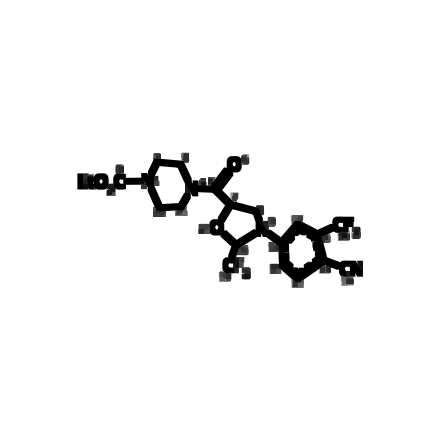 CCOC(=O)N1CCN(C(=O)C2CN(c3ccc(C#N)c(C(F)(F)F)c3)C(C(F)(F)F)O2)CC1